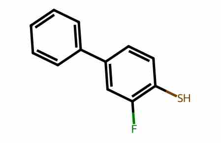 Fc1cc(-c2ccccc2)ccc1S